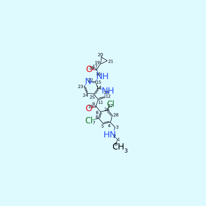 CCNCc1cc(Cl)c(C(=O)c2c[nH]c3c(NC(=O)C4CC4)nccc23)c(Cl)c1